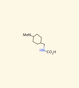 CNC1CCC(CNC(=O)O)CC1